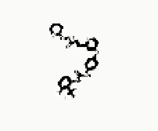 O=C(C=Cc1cc(Oc2ccc(NC(=O)Nc3cccc(Cl)c3C(F)(F)F)cc2)ccn1)NOC1CCCCO1